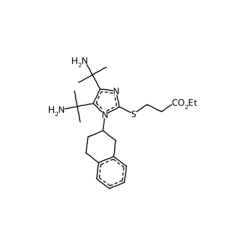 CCOC(=O)CCSc1nc(C(C)(C)N)c(C(C)(C)N)n1C1CCc2ccccc2C1